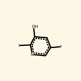 Oc1cc(F)cnc1I